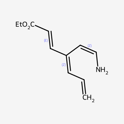 C=C/C=C(\C=C/N)/C=C/C(=O)OCC